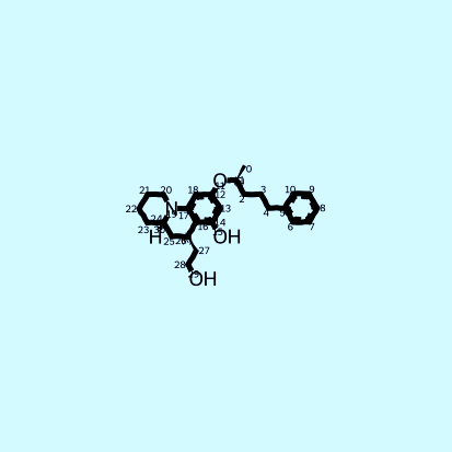 C[C@@H](CCCc1ccccc1)Oc1cc(O)c2c(c1)N1CCCC[C@H]1C[C@@H]2CCO